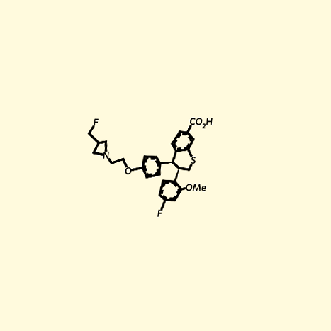 COc1cc(F)ccc1[C@@H]1CSc2cc(C(=O)O)ccc2[C@@H]1c1ccc(OCCN2CC(CF)C2)cc1